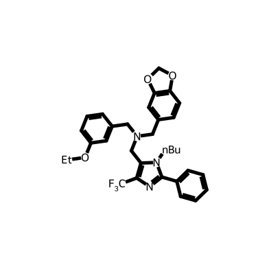 CCCCn1c(-c2ccccc2)nc(C(F)(F)F)c1CN(Cc1cccc(OCC)c1)Cc1ccc2c(c1)OCO2